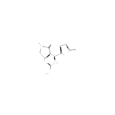 CSc1nc2c(c(-c3ccc(C)o3)n1)C(=O)N(C)C2